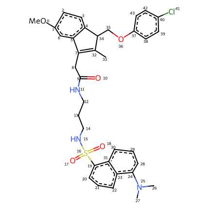 COc1ccc2c(c1)C(CC(=O)NCCCNS(=O)(=O)c1cccc3c(N(C)C)cccc13)=C(C)C2COc1ccc(Cl)cc1